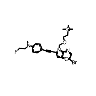 CN(CCF)c1ccc(C#Cc2cc3cc(Br)cnc3n2COCC[Si](C)(C)C)cc1